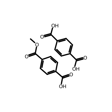 COC(=O)c1ccc(C(=O)O)cc1.O=C(O)c1ccc(C(=O)O)cc1